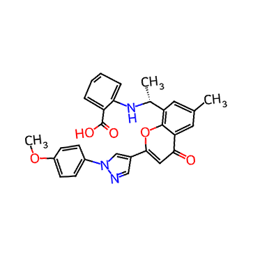 COc1ccc(-n2cc(-c3cc(=O)c4cc(C)cc([C@@H](C)Nc5ccccc5C(=O)O)c4o3)cn2)cc1